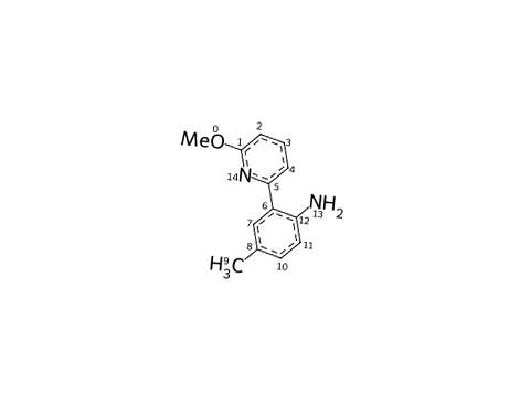 COc1cccc(-c2cc(C)ccc2N)n1